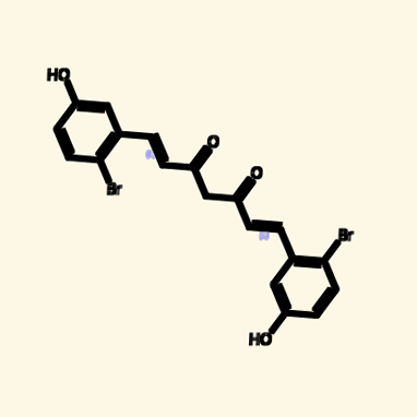 O=C(/C=C/c1cc(O)ccc1Br)CC(=O)/C=C/c1cc(O)ccc1Br